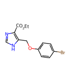 CCOC(=O)c1nc[nH]c1COc1ccc(Br)cc1